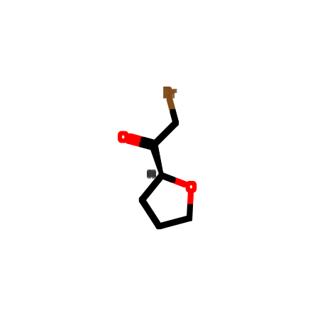 O=C(CBr)[C@@H]1CCCO1